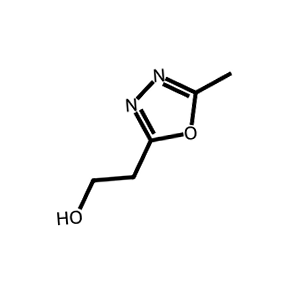 Cc1nnc(CCO)o1